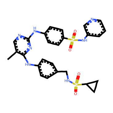 Cc1cnc(Nc2ccc(S(=O)(=O)Nc3cccnc3)cc2)nc1Nc1ccc(CNS(=O)(=O)C2CC2)cc1